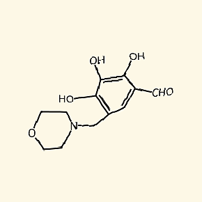 O=Cc1cc(CN2CCOCC2)c(O)c(O)c1O